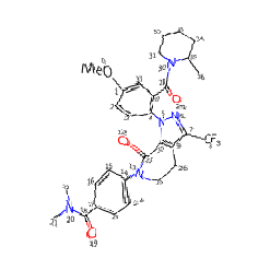 COc1ccc(-n2nc(C(F)(F)F)c3c2C(=O)N(c2ccc(C(=O)N(C)C)cc2)CC3)c(C(=O)N2CCCCC2C)c1